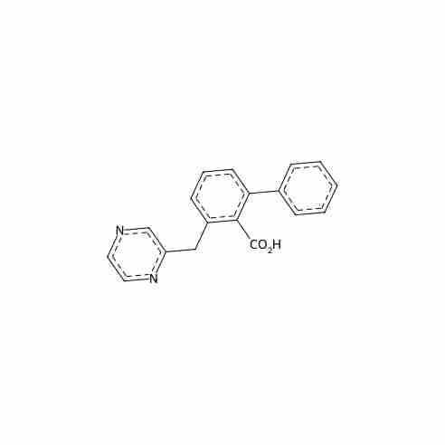 O=C(O)c1c(Cc2cnccn2)cccc1-c1ccccc1